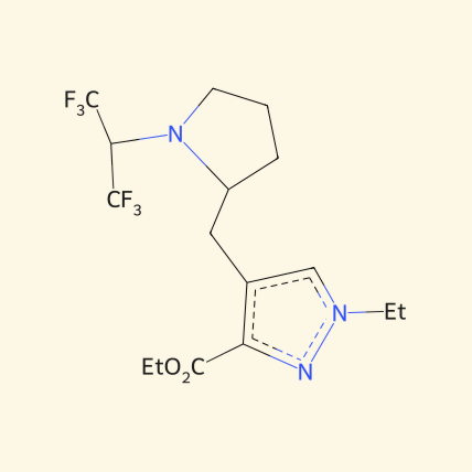 CCOC(=O)c1nn(CC)cc1CC1CCCN1C(C(F)(F)F)C(F)(F)F